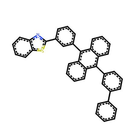 c1ccc(-c2cccc(-c3c4ccccc4c(-c4cccc(-c5nc6ccccc6s5)c4)c4ccccc34)c2)cc1